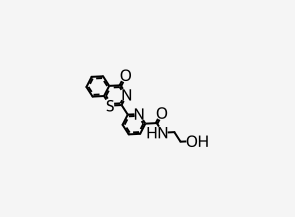 O=C(NCCO)c1cccc(-c2nc(=O)c3ccccc3s2)n1